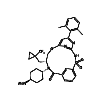 CN[C@H]1CC[C@H](N2C(=O)c3cccc(c3)S(=O)(=O)Nc3nc(cc(-c4c(C)cccc4C)n3)OC[C@H]2CC2(C(F)(F)F)CC2)CC1